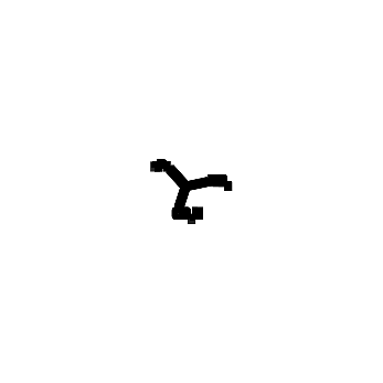 CCCC(C(=O)O)[N+](=O)[O-]